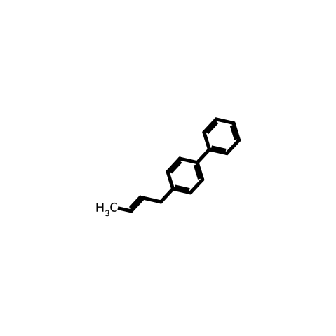 CC=CCc1ccc(-c2ccccc2)cc1